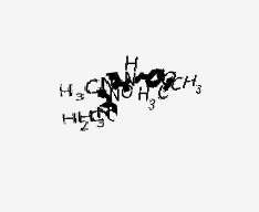 C=N/C=C(\C=C/C)c1cc(C)n2ccc(C(=O)NCCc3ccc(OC(C)C)cc3)c2n1